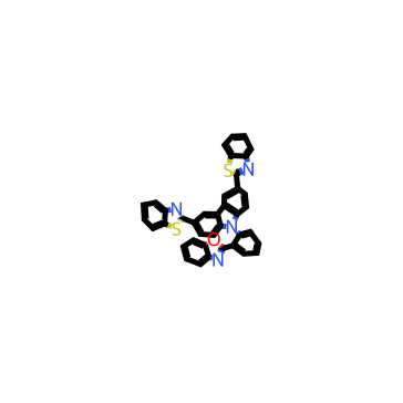 c1ccc(-n2c3ccc(-c4nc5ccccc5s4)cc3c3cc(-c4nc5ccccc5s4)ccc32)c(-c2nc3ccccc3o2)c1